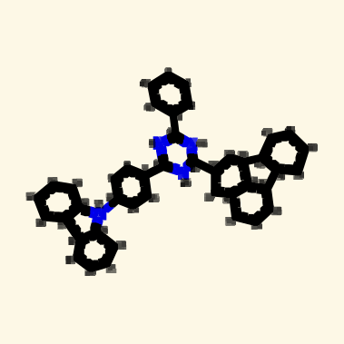 c1ccc(-c2nc(-c3ccc(-n4c5ccccc5c5ccccc54)cc3)nc(-c3cc4c5c(cccc5c3)-c3ccccc3-4)n2)cc1